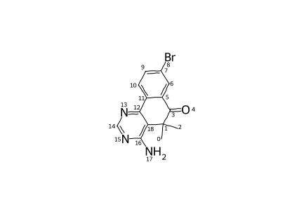 CC1(C)C(=O)c2cc(Br)ccc2-c2ncnc(N)c21